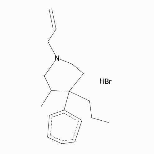 Br.C=CCN1CCC(CCC)(c2ccccc2)C(C)C1